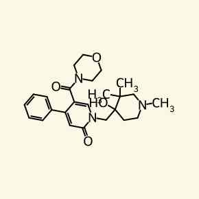 CN1CCC(O)(Cn2cc(C(=O)N3CCOCC3)c(-c3ccccc3)cc2=O)C(C)(C)C1